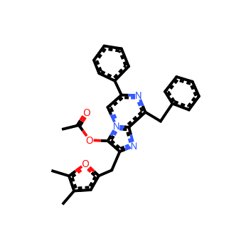 CC(=O)Oc1c(Cc2cc(C)c(C)o2)nc2c(Cc3ccccc3)nc(-c3ccccc3)cn12